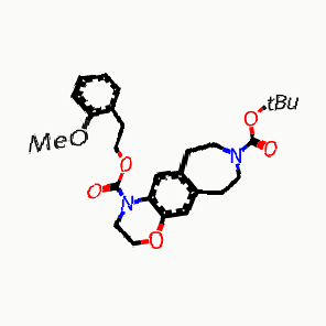 COc1ccccc1CCOC(=O)N1CCOc2cc3c(cc21)CCN(C(=O)OC(C)(C)C)CC3